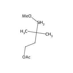 CO[SiH2]C(C)(C)CCOC(C)=O